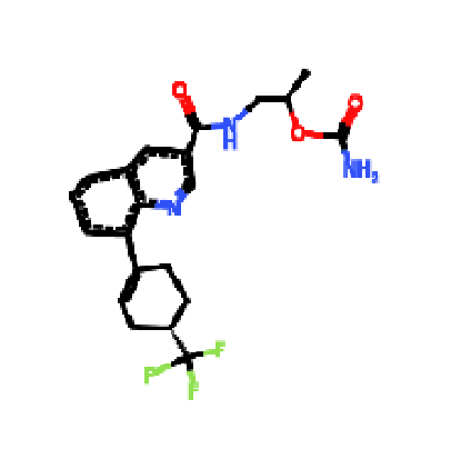 C[C@H](CNC(=O)c1cnc2c(C3=CC[C@@H](C(F)(F)F)CC3)cccc2c1)OC(N)=O